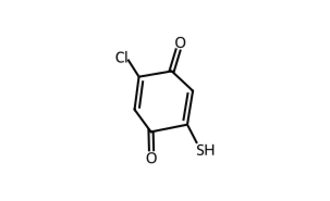 O=C1C=C(Cl)C(=O)C=C1S